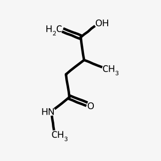 C=C(O)C(C)CC(=O)NC